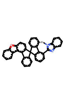 CCCn1c(-c2cccc3c2-c2ccccc2C32c3ccccc3-c3c2ccc2oc4ccccc4c32)nc2ccccc21